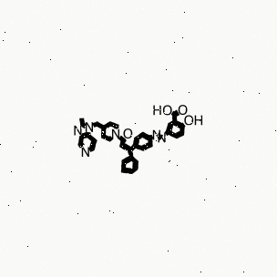 Cc1nc2cnccc2n1CC1CCN(C(=O)C=C(c2ccccc2)c2ccc(N=Nc3ccc(O)c(C(=O)O)c3)cc2)CC1